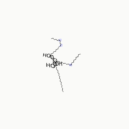 CCCCC/C=C\C/C=C\CCCCCCCC(O)OCC(COC(O)CCCCCCCCCCCCCCCCC)OC(O)CCCCCCC/C=C\CCCCCCCC